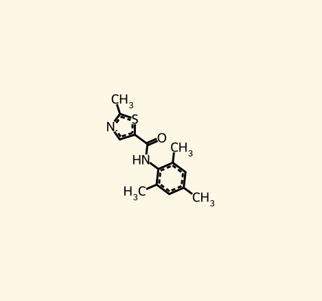 Cc1cc(C)c(NC(=O)c2cnc(C)s2)c(C)c1